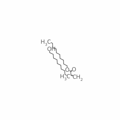 C=CC(=O)OCCCCCCCCCC.CCCCCCCCCCO